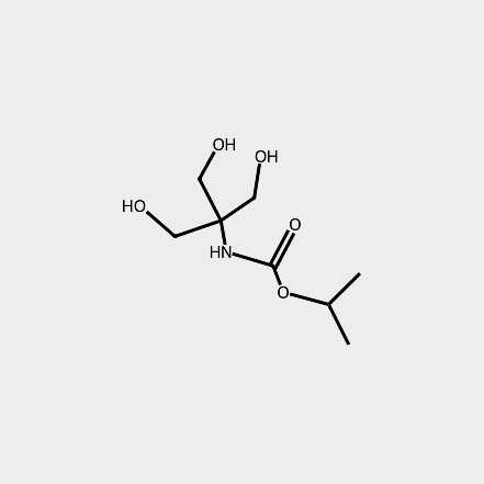 CC(C)OC(=O)NC(CO)(CO)CO